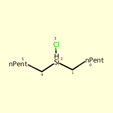 CCCCCC[SiH](Cl)CCCCCC